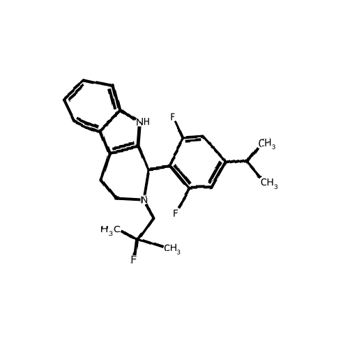 CC(C)c1cc(F)c(C2c3[nH]c4ccccc4c3CCN2CC(C)(C)F)c(F)c1